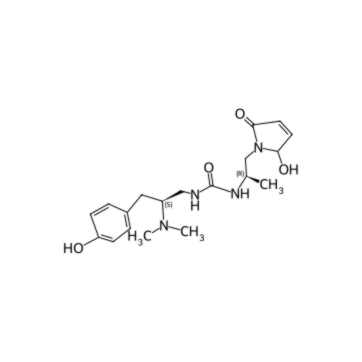 C[C@H](CN1C(=O)C=CC1O)NC(=O)NC[C@H](Cc1ccc(O)cc1)N(C)C